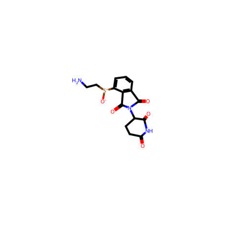 NCC[S+]([O-])c1cccc2c1C(=O)N(C1CCC(=O)NC1=O)C2=O